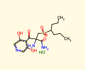 CCCC(CCC)S(=O)(=O)CC(N)(C(N)=O)C(=O)c1c(O)cncc1O.Cl